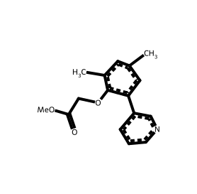 COC(=O)COc1c(C)cc(C)cc1-c1cccnc1